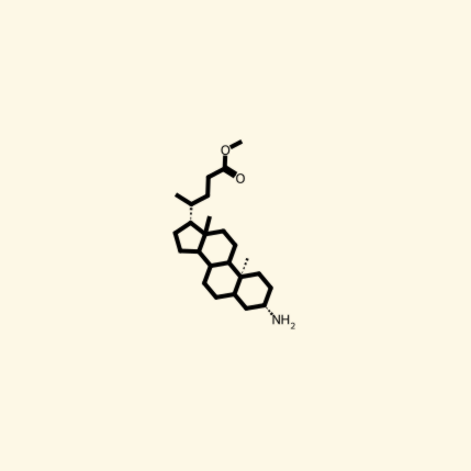 COC(=O)CCC(C)[C@H]1CCC2C3CCC4C[C@@H](N)CC[C@]4(C)C3CCC21C